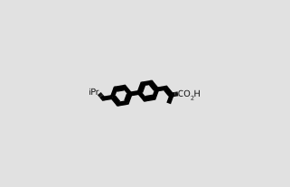 C/C(=C\c1ccc(-c2ccc(CC(C)C)cc2)cc1)C(=O)O